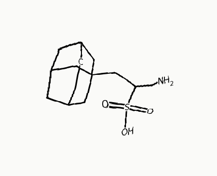 NC(CC12CC3CC(CC(C3)C1)C2)S(=O)(=O)O